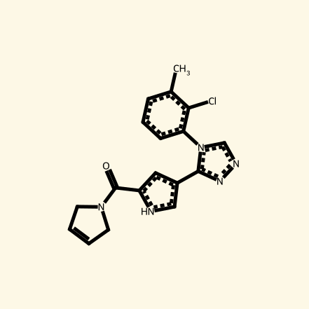 Cc1cccc(-n2cnnc2-c2c[nH]c(C(=O)N3CC=CC3)c2)c1Cl